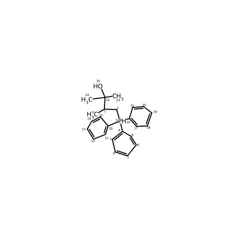 CC(C[PH](c1ccccc1)(c1ccccc1)c1ccccc1)C(C)(C)O